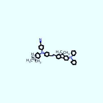 CC1(C)c2cc(/C=C/c3ccc(N(c4ccc(C#N)cc4)c4ccc([Si](C)(C)C)cc4)cc3)ccc2-c2ccc(N(c3ccccc3)c3ccccc3)cc21